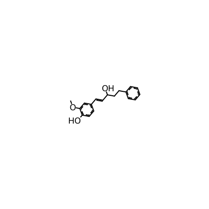 COc1cc(C=CC(O)CCc2ccccc2)ccc1O